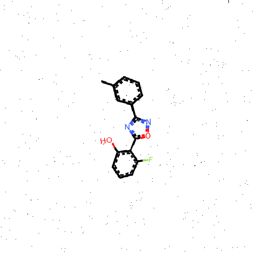 Cc1cccc(-c2noc(-c3c(O)cccc3F)n2)c1